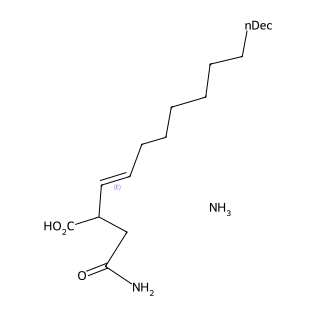 CCCCCCCCCCCCCCCC/C=C/C(CC(N)=O)C(=O)O.N